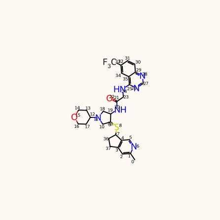 Cc1cc2c(cn1)C(S[C@H]1CN(C3CCOCC3)CC1NC(=O)CNc1ncnc3ccc(C(F)(F)F)cc13)CC2